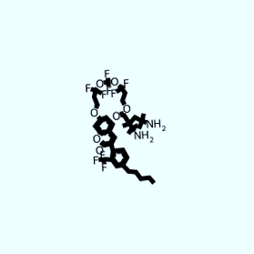 CCCCCc1ccc(-c2cc3ccc(OCCC(F)(F)OC(F)(F)OC(F)(F)CCOC(=O)C(C)(CC(C)(C)N)C(C)(C)N)cc3oc2=O)c(C(F)(F)F)c1